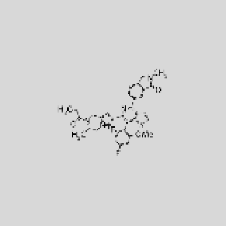 C=CC(=O)N1Cc2cc(-c3nc(-c4ccc5c(c4)C(=O)N(C)C5)c4ccsc4c3-c3c(F)cc(F)cc3OC)nn2CC1C